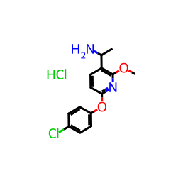 COc1nc(Oc2ccc(Cl)cc2)ccc1C(C)N.Cl